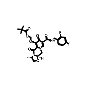 C[C@H]1CO[C@@H]2Cn3cc(C(=O)NCc4ccc(F)cc4F)c(=O)c(OCOC(=O)C(C)(C)C)c3C(=O)N12